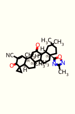 Cc1noc([C@]23CCC(C)(C)C[C@H]2[C@H]2C(=O)C=C4[C@@]5(C)C=C(C#N)C(=O)C6(CC6)[C@@H]5CC[C@@]4(C)[C@]2(C)CC3)n1